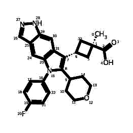 C[C@]1(C(=O)O)C[C@H](c2c(C3CCOCC3)n(-c3ccc(F)cc3)c3cc4cn[nH]c4cc32)C1